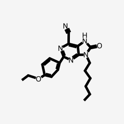 CCCCCCn1c(=O)[nH]c2c(C#N)nc(-c3ccc(OCC)cc3)nc21